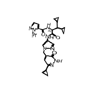 CC(C)n1nccc1C(=O)N[C@H](C(=O)Nc1cnn(Cc2cc(C3CC3)n[nH]c2=O)c1)C(C1CC1)C1CC1